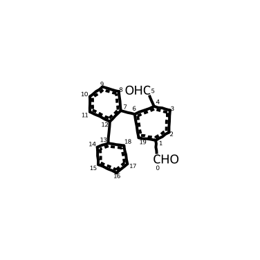 O=Cc1ccc(C=O)c(-c2ccccc2-c2ccccc2)c1